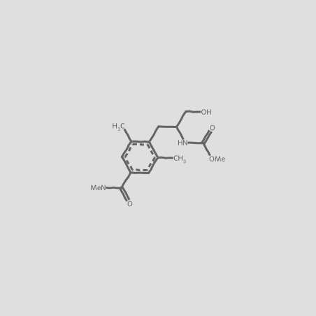 CNC(=O)c1cc(C)c(CC(CO)NC(=O)OC)c(C)c1